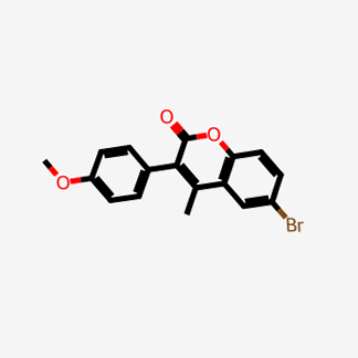 COc1ccc(-c2c(C)c3cc(Br)ccc3oc2=O)cc1